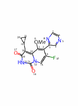 COc1c(-c2cnccn2)c(F)cn2c(=O)[nH]c(=O)c(C3CC3)c12